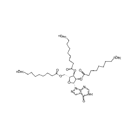 CCCCCCCCCCCCCCCCCC(=O)OC[C@H]1O[C@@H](n2ncc3c(=O)[nH]cnc32)[C@H](OC(=O)CCCCCCCCCCCCCCCCC)[C@@H]1OC(=O)CCCCCCCCCCCCCCCCC